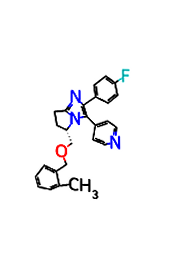 Cc1ccccc1COC[C@@H]1CCc2nc(-c3ccc(F)cc3)c(-c3ccncc3)n21